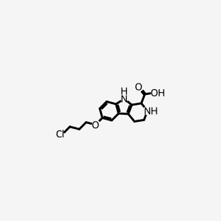 O=C(O)C1NCCc2c1[nH]c1ccc(OCCCCl)cc21